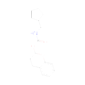 O=C(NCC1CCCC1)OC1CCc2ccccc2O1